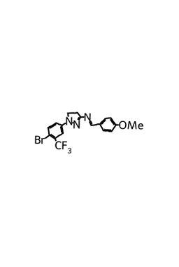 COc1ccc(C=NC2=NN(c3ccc(Br)c(C(F)(F)F)c3)CC2)cc1